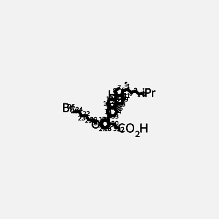 CC(C)CCC[C@@H](C)[C@H]1CC[C@H]2[C@@H]3CCC4CC(c5cc(OCCCCCCBr)ccc5/C=C/C(=O)O)CC[C@]4(C)[C@H]3CC[C@]12C